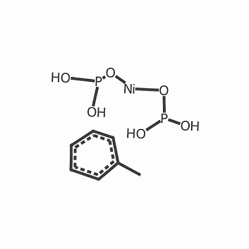 Cc1ccccc1.OP(O)[O][Ni][O]P(O)O